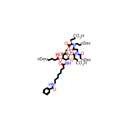 CCCCCCCCCCCCCC(=O)O[C@H]1[C@H](O)[C@@H](COC(=O)[C@@H](CCC(=O)O)N(CCCCCCCCCCCC)C(=O)CNC(=O)CCCCCCCCCCC)O[C@H](OC(CC(=O)O)CC(=O)O)[C@@H]1NC(=O)CCCCCCCNC(=O)c1ccccc1